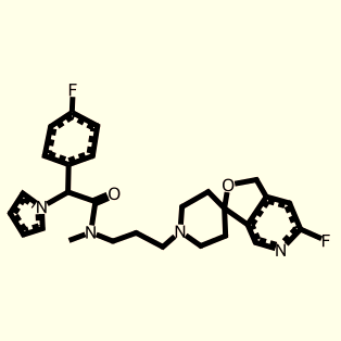 CN(CCCN1CCC2(CC1)OCc1cc(F)ncc12)C(=O)C(c1ccc(F)cc1)n1cccc1